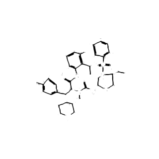 CC[C@H]1CNC[C@H](CCc2c(F)cccc2NC(=O)[C@H]([C@@H](c2ccc(Cl)cc2)C2CCOCC2)N(C)C(=O)O)N1S(=O)(=O)c1ccccc1